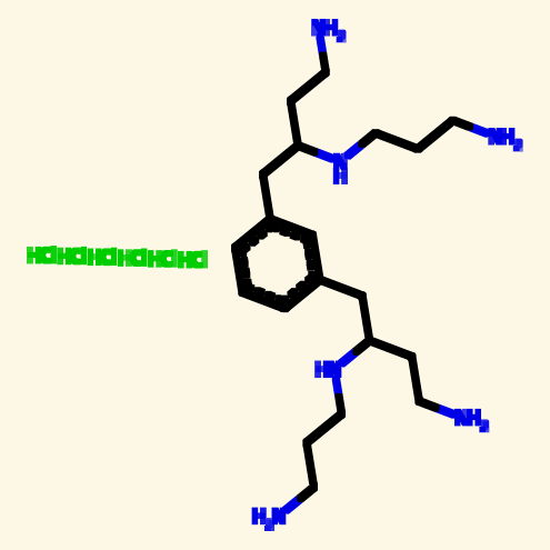 Cl.Cl.Cl.Cl.Cl.Cl.NCCCNC(CCN)Cc1cccc(CC(CCN)NCCCN)c1